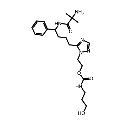 CC(C)(N)C(=O)NC(CCCc1ncnn1CCOC(=O)NCCCO)c1ccccc1